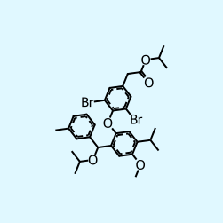 COc1cc(C(OC(C)C)c2cccc(C)c2)c(Oc2c(Br)cc(CC(=O)OC(C)C)cc2Br)cc1C(C)C